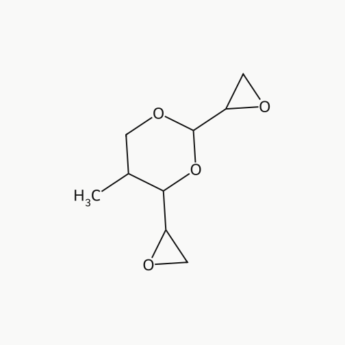 CC1COC(C2CO2)OC1C1CO1